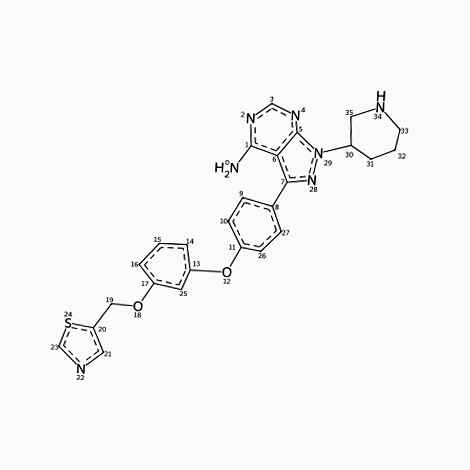 Nc1ncnc2c1c(-c1ccc(Oc3cccc(OCc4cncs4)c3)cc1)nn2C1CCCNC1